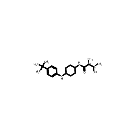 C[C@@H](O)[C@H](N)C(=O)NC1CCC(Nc2ccc(C(C)(C)C)cc2)CC1